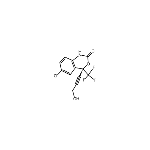 O=C1Nc2ccc(Cl)cc2[C@@](C#CCO)(C(F)(F)F)O1